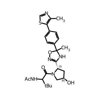 CC(=O)NC(C(=O)N1C[C@H](O)C[C@H]1C1=NOC(C)(c2ccc(-c3scnc3C)cc2)N1)C(C)(C)C